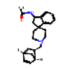 CC(=O)NC1CC2(CCN(C[C@@H]3C[C@H]4C=C[C@H]3C4)CC2)c2ccccc21